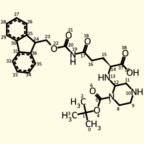 CC(C)(C)OC(=O)N1CCNCC1N[C@@H](CCC(=O)NC(=O)OCC1c2ccccc2-c2ccccc21)C(=O)O